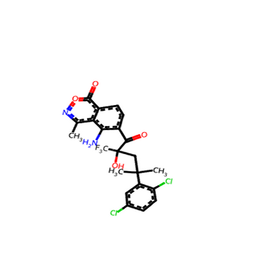 Cc1noc(=O)c2ccc(C(=O)C(O)(CC(C)(C)c3cc(Cl)ccc3Cl)C(F)(F)F)c(N)c12